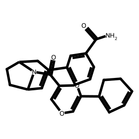 NC(=O)c1cccc(C2=CC3CCC(C2)N3C(=O)C2=COC=C(C3=CC=CCC3)O2)c1